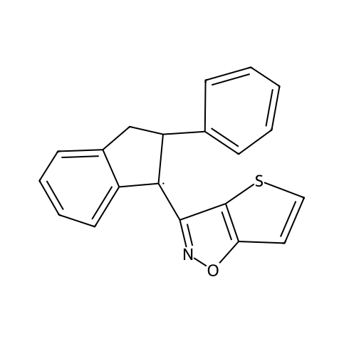 c1ccc(C2Cc3ccccc3[C]2c2noc3ccsc23)cc1